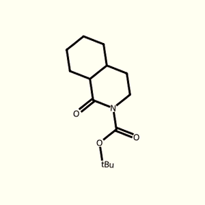 CC(C)(C)OC(=O)N1CCC2CCCCC2C1=O